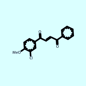 COc1ccc(C(=O)/C=C/C(=O)c2ccccc2)cc1Cl